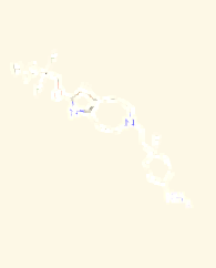 CC(F)(F)COc1nc2c(s1)CCN(CC[C@]1(F)CC[C@@H](N)CC1)CC2